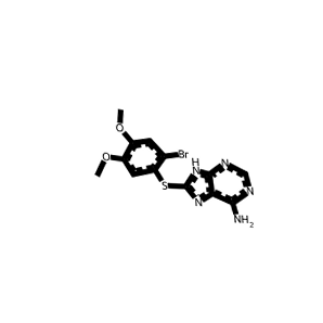 COc1cc(Br)c(Sc2nc3c(N)ncnc3[nH]2)cc1OC